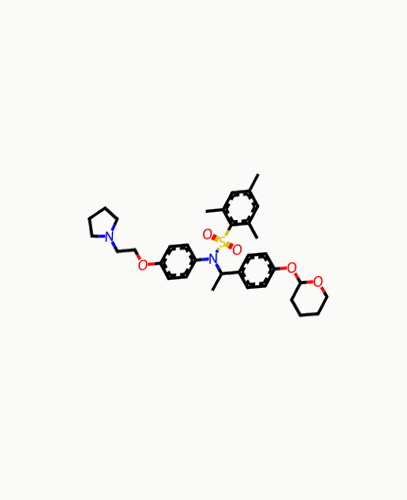 Cc1cc(C)c(S(=O)(=O)N(c2ccc(OCCN3CCCC3)cc2)C(C)c2ccc(OC3CCCCO3)cc2)c(C)c1